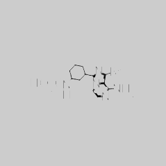 Nc1nccn2c(C3CCCC(NC(=O)O)C3)nc(Br)c12